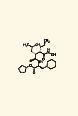 C=CC[C@H](C(=O)NO)[C@@H](CC(C)C)C(=O)N[C@@H](CC1CCCCC1)C(=O)OC1CCCC1